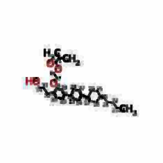 C=C(C)C(=O)OCCOc1cc(-c2ccc(C3=CCC(CCCCC)CC3)cc2)ccc1CCCO